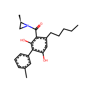 CCCCCc1cc(O)c(-c2cccc(C)c2)c(O)c1C(=O)N1C[C@H]1C